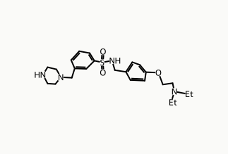 CCN(CC)CCOc1ccc(CNS(=O)(=O)c2cccc(CN3CCNCC3)c2)cc1